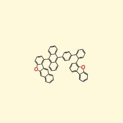 c1ccc(-c2cccc3c2oc2ccccc23)c(-c2ccc(-c3c4ccccc4c(-c4cccc5oc6cc7ccccc7cc6c45)c4ccccc34)cc2)c1